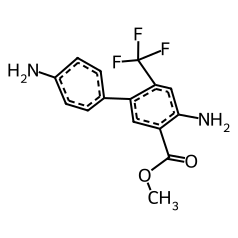 COC(=O)c1cc(-c2ccc(N)cc2)c(C(F)(F)F)cc1N